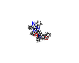 N#Cc1c(-c2ccccc2)nc(-c2ccc(-n3c4ccccc4c4cc5oc6ccccc6c5cc43)c3oc4ccccc4c23)nc1-c1ccccc1